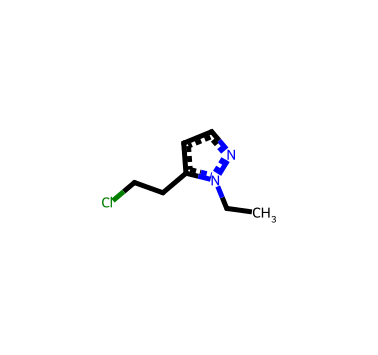 CCn1nccc1CCCl